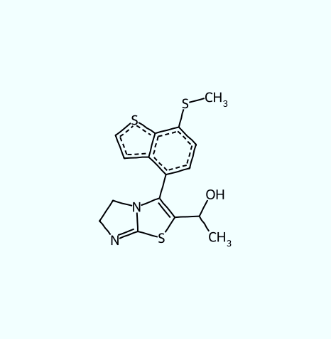 CSc1ccc(C2=C(C(C)O)SC3=NCCN32)c2ccsc12